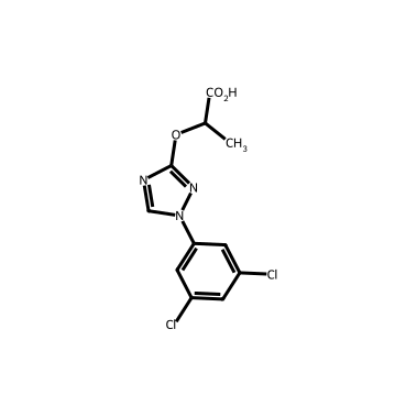 CC(Oc1ncn(-c2cc(Cl)cc(Cl)c2)n1)C(=O)O